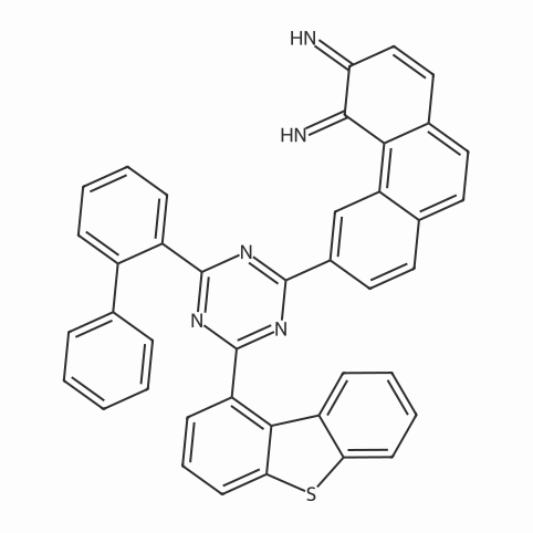 N=C1C=Cc2ccc3ccc(-c4nc(-c5ccccc5-c5ccccc5)nc(-c5cccc6sc7ccccc7c56)n4)cc3c2C1=N